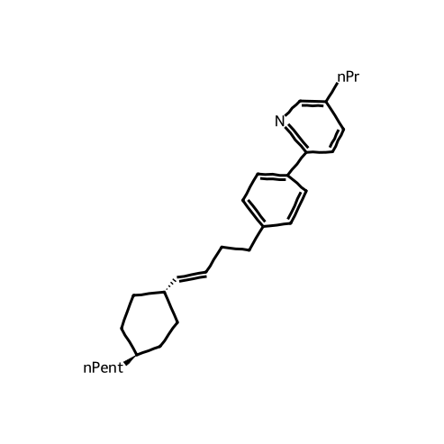 CCCCC[C@H]1CC[C@H](/C=C/CCc2ccc(-c3ccc(CCC)cn3)cc2)CC1